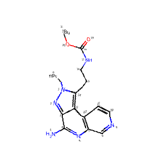 CCCn1nc2c(N)nc3cnccc3c2c1CCNC(=O)OC(C)(C)C